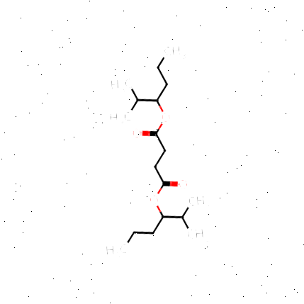 CCCC(OC(=O)CCC(=O)OC(CCC)C(C)C)C(C)C